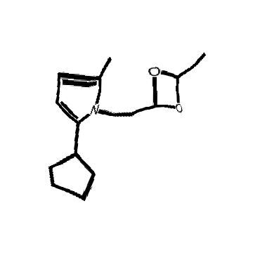 Cc1ccc(C2CCCC2)n1CC1OC(C)O1